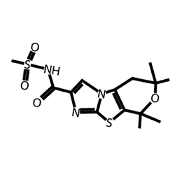 CC1(C)Cc2c(sc3nc(C(=O)NS(C)(=O)=O)cn23)C(C)(C)O1